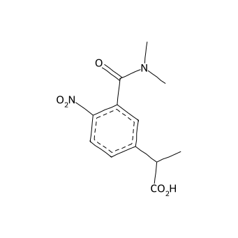 CC(C(=O)O)c1ccc([N+](=O)[O-])c(C(=O)N(C)C)c1